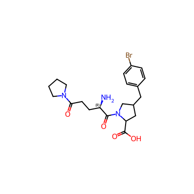 N[C@H](CCC(=O)N1CCCC1)C(=O)N1CC(Cc2ccc(Br)cc2)CC1C(=O)O